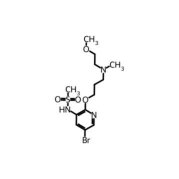 COCCN(C)CCCOc1ncc(Br)cc1NS(C)(=O)=O